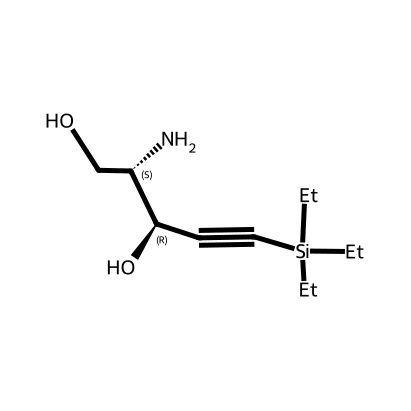 CC[Si](C#C[C@@H](O)[C@@H](N)CO)(CC)CC